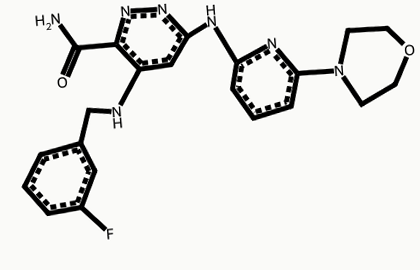 NC(=O)c1nnc(Nc2cccc(N3CCOCC3)n2)cc1NCc1cccc(F)c1